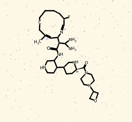 C/C1=C/C(C(C(=O)NC2CNCCC2C2CC[C@H](C(=O)N3CCN(C4COC4)CC3)NC2)C(N)N)/N=C\C(F)CCCCCC1